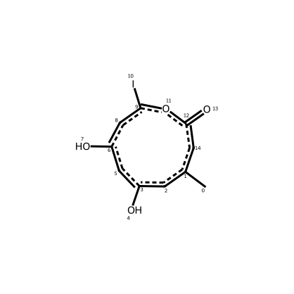 Cc1cc(O)cc(O)cc(I)oc(=O)c1